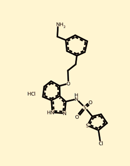 Cl.NCc1cccc(CCOc2cccc3[nH]nc(NS(=O)(=O)c4ccc(Cl)s4)c23)c1